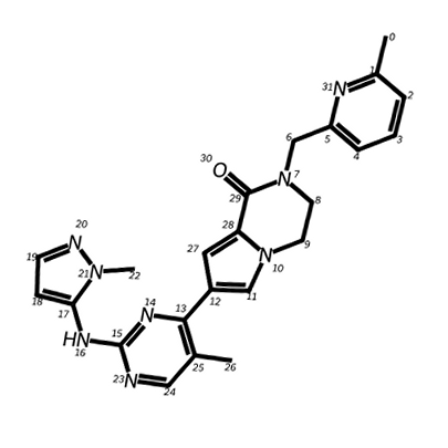 Cc1cccc(CN2CCn3cc(-c4nc(Nc5ccnn5C)ncc4C)cc3C2=O)n1